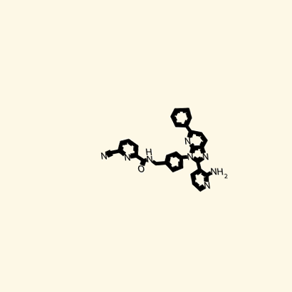 N#Cc1cccc(C(=O)NCc2ccc(-n3c(-c4cccnc4N)nc4ccc(-c5ccccc5)nc43)cc2)n1